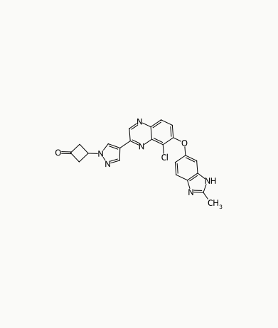 Cc1nc2ccc(Oc3ccc4ncc(-c5cnn(C6CC(=O)C6)c5)nc4c3Cl)cc2[nH]1